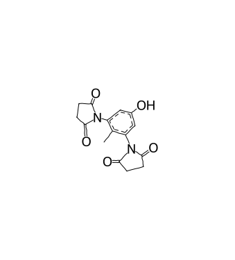 Cc1c(N2C(=O)CCC2=O)cc(O)cc1N1C(=O)CCC1=O